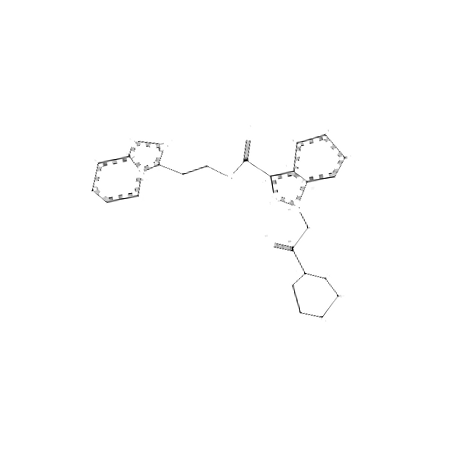 O=C(NCCc1nnc2ccccn12)c1nn(CC(=O)C2CCCCC2)c2ccccc12